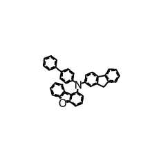 c1ccc(-c2ccc(N(c3ccc4c(c3)Cc3ccccc3-4)c3cccc4oc5ccccc5c34)cc2)cc1